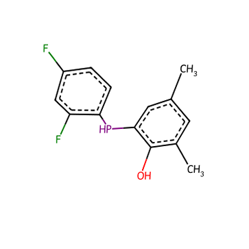 Cc1cc(C)c(O)c(Pc2ccc(F)cc2F)c1